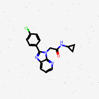 O=C(Cn1c(-c2ccc(Cl)cc2)nc2cccnc21)NC1CC1